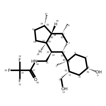 C[C@@H]1C[C@H]([C@@]2(C)CC[C@H](O)C[C@@H]2CO)[C@@H](CNC(=O)C(F)(F)F)[C@H]2CC[C@H](C)[C@@H]21